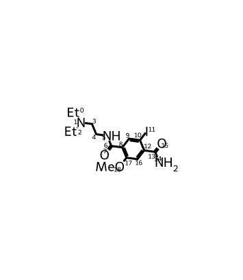 CCN(CC)CCNC(=O)c1cc(I)c(C(N)=O)cc1OC